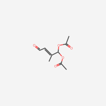 CC(=O)OC(OC(C)=O)C(C)=CC=O